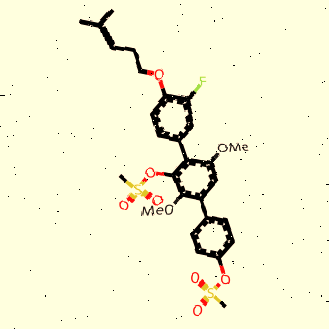 COc1cc(-c2ccc(OS(C)(=O)=O)cc2)c(OC)c(OS(C)(=O)=O)c1-c1ccc(OCCC=C(C)C)c(F)c1